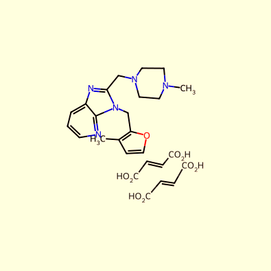 Cc1ccoc1Cn1c(CN2CCN(C)CC2)nc2cccnc21.O=C(O)C=CC(=O)O.O=C(O)C=CC(=O)O